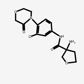 NC1(C(=O)Nc2ccc(N3CCOCC3=O)c(Cl)c2)CCOC1